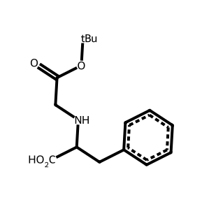 CC(C)(C)OC(=O)CNC(Cc1ccccc1)C(=O)O